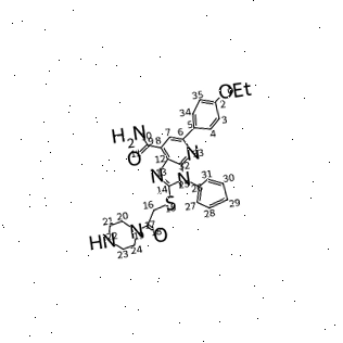 CCOc1ccc(-c2cc(C(N)=O)c3nc(SCC(=O)N4CCNCC4)n(-c4ccccc4)c3n2)cc1